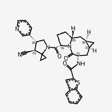 N#C[C@H]1[C@H](c2cccnc2)CN(C(=O)[C@@H]2CC[C@@H]3C[C@H]4C[C@H]4C[C@H](NC(=O)c4cc5ccccc5s4)C(=O)N32)C12CC2